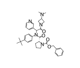 CN(C)C1CN(C(=O)C(c2cccnc2)N(C(=O)[C@H]2CCCN2C(=O)OCc2ccccc2)c2ccc(C(C)(C)C)cc2)C1